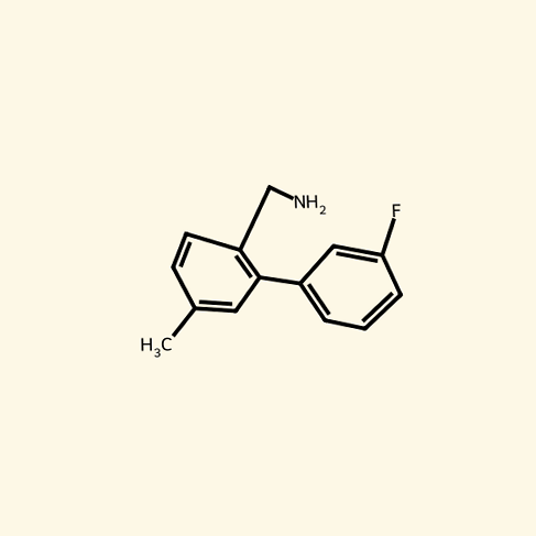 Cc1ccc(CN)c(-c2cccc(F)c2)c1